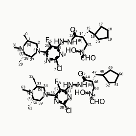 C[C@H]1CN(c2nc(Cl)nc(NNC(=O)[C@H](CC3CCCC3)CN(O)C=O)c2F)C[C@H](C)N1C.C[C@H]1CN(c2nc(Cl)nc(NNC(=O)[C@H](CC3CCCC3)CN(O)C=O)c2F)C[C@H](C)N1C